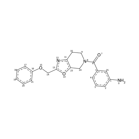 Nc1cccc(C(=O)N2CCc3nc(COc4ccccc4)oc3C2)c1